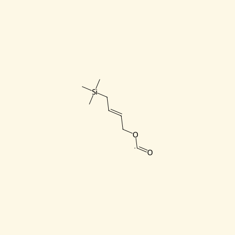 C[Si](C)(C)CC=CCO[C]=O